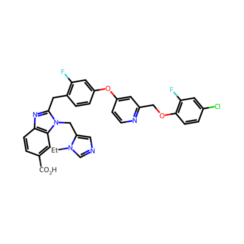 CCn1cncc1Cn1c(Cc2ccc(Oc3ccnc(COc4ccc(Cl)cc4F)c3)cc2F)nc2ccc(C(=O)O)cc21